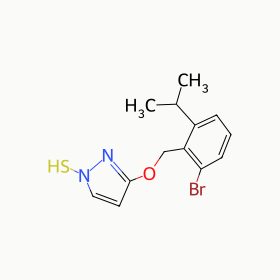 CC(C)c1cccc(Br)c1COc1ccn(S)n1